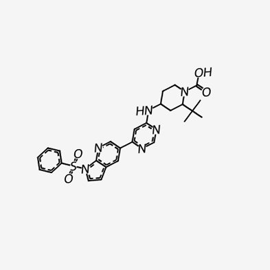 CC(C)(C)C1CC(Nc2cc(-c3cnc4c(ccn4S(=O)(=O)c4ccccc4)c3)ncn2)CCN1C(=O)O